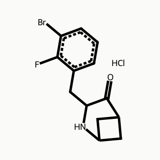 Cl.O=C1C2CC(C2)NC1Cc1cccc(Br)c1F